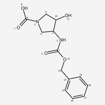 O=C(NC1CN(C(=O)O)CC1O)OCc1ccccc1